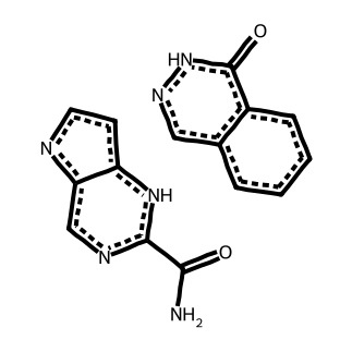 NC(=O)c1ncc2nccc-2[nH]1.O=c1[nH]ncc2ccccc12